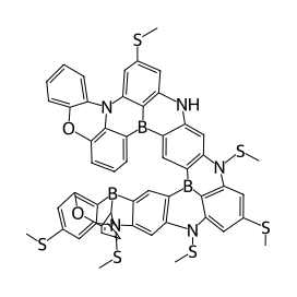 CSc1cc2c3c(c1)N(SC)c1cc4c(cc1B3c1ccccc1O2)B1c2cc3c(cc2N(SC)c2cc(SC)cc(c21)N4SC)Nc1cc(SC)cc2c1B3c1cccc3c1N2c1ccccc1O3